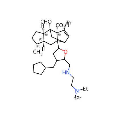 CCCN(CC)CCNCC1OC(C23C[C@@H]4[C@H](C)CC[C@H]4C4(C=O)CC2C=C(C(C)C)[C@@]34C(=O)O)CC1CC1CCCC1